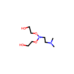 CN(C)CCN(OCCO)OCCO